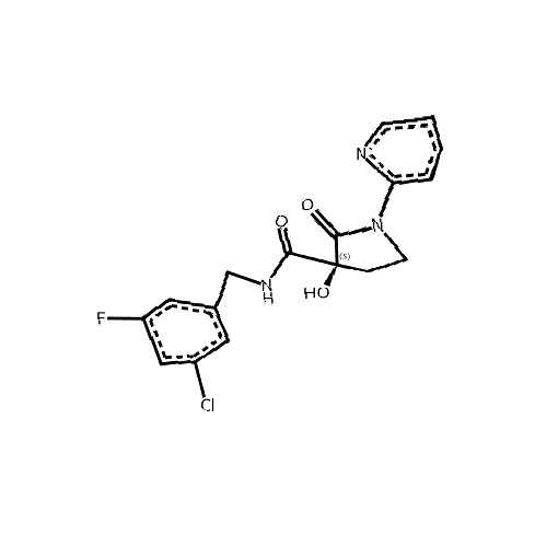 O=C(NCc1cc(F)cc(Cl)c1)[C@@]1(O)CCN(c2ccccn2)C1=O